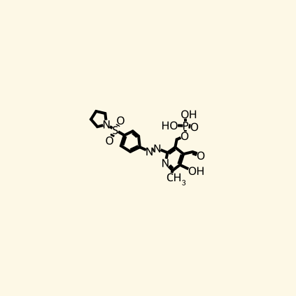 Cc1nc(N=Nc2ccc(S(=O)(=O)N3CCCC3)cc2)c(COP(=O)(O)O)c(C=O)c1O